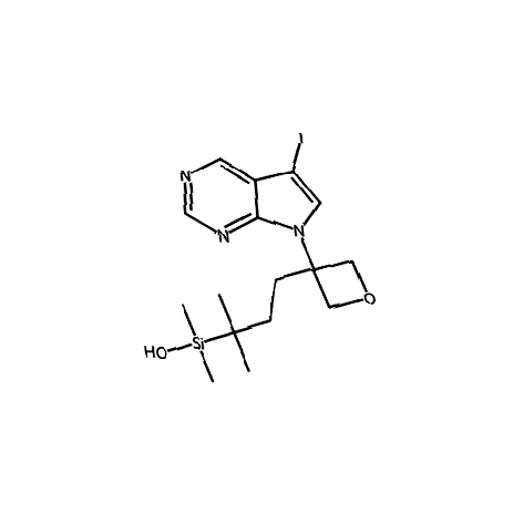 CC(C)(CCC1(n2cc(I)c3cncnc32)COC1)[Si](C)(C)O